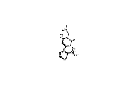 C[C@H]1CC(c2ccncc2[N+](=O)[O-])=CC(=O)C1CN(C)C